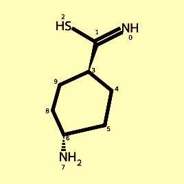 N=C(S)[C@H]1CC[C@H](N)CC1